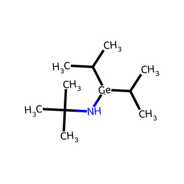 C[CH](C)[Ge]([NH]C(C)(C)C)[CH](C)C